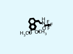 COc1cc2c(cc1OC)/C(=C\CNC(=O)C(F)(F)F)CCC2